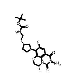 C[C@@H]1COc2c(N3CC[C@H](CCNC(=O)OC(C)(C)C)C3)c(F)cc3c(=O)n(N)c(=O)n1c23